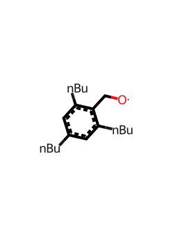 CCCCc1cc(CCCC)c(C[O])c(CCCC)c1